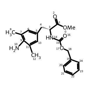 COC(=O)[C@@H](Cc1cc(C)c(N)c(C)c1)NC(=O)OCc1ccccc1